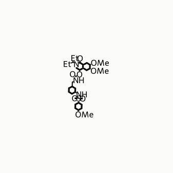 CCC(CC)n1cc(OC(=O)NCc2cccc(NS(=O)(=O)c3ccc(OC)cc3)c2)c2cc(OC)c(OC)cc2c1=O